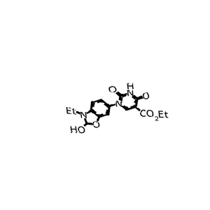 CCOC(=O)c1cn(-c2ccc3c(c2)OC(O)N3CC)c(=O)[nH]c1=O